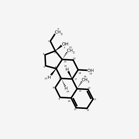 CC[C@@]1(O)CC[C@H]2[C@@H]3CCC4=CCC=C[C@]4(C)[C@H]3C(O)C[C@@]21C